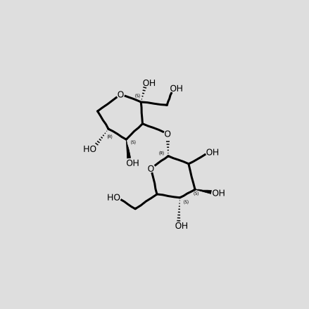 OCC1O[C@H](OC2[C@@H](O)[C@H](O)CO[C@@]2(O)CO)C(O)[C@@H](O)[C@@H]1O